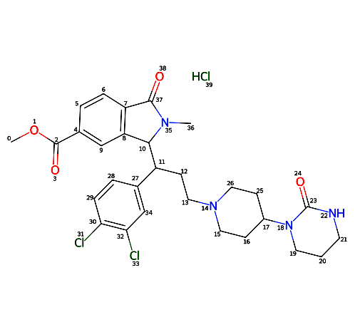 COC(=O)c1ccc2c(c1)C(C(CCN1CCC(N3CCCNC3=O)CC1)c1ccc(Cl)c(Cl)c1)N(C)C2=O.Cl